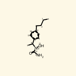 CCCCc1ccc(C(C)N(O)C(N)=O)cc1